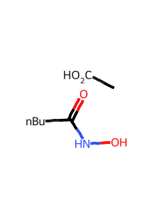 CC(=O)O.CCCCC(=O)NO